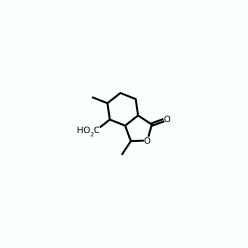 CC1CCC2C(=O)OC(C)C2C1C(=O)O